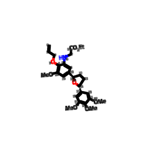 C=CCOc1c(NCC(=O)OCC)cc([C@H]2CC[C@H](c3cc(OC)c(OC)c(OC)c3)O2)cc1OC